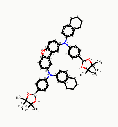 CC1(C)OB(c2ccc(N(c3ccc4c(c3)CCCC4)c3ccc4oc5ccc(N(c6ccc(B7OC(C)(C)C(C)(C)O7)cc6)c6ccc7c(c6)CCCC7)cc5c4c3)cc2)OC1(C)C